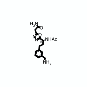 CC(=O)N[C@@H](CCc1cccc(CN)c1)c1nnc(CC(N)=O)o1